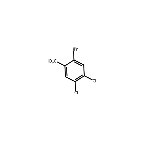 CC(C)c1cc(Cl)c(Cl)cc1C(=O)O